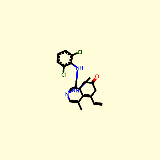 C=CC1=C2C(C)=CN=C3N=C(Nc4c(Cl)cccc4Cl)N(C)C32CC(=O)C1